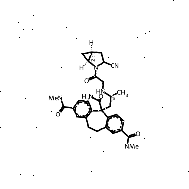 CNC(=O)c1ccc2c(c1)CCc1cc(C(=O)NC)ccc1C2(C[C@H](C)NCC(=O)N1C(C#N)C[C@@H]2C[C@@H]21)C(N)=O